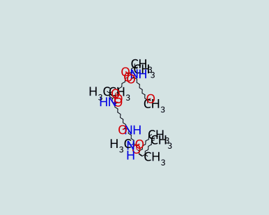 CCCCCCCC(/C=C\C(C)CCCCCC)OC(=O)C(CCCCNC(=O)CCCCCCCCC(=O)NC(CC(C)C)C(=O)OCCCCCCOC(=O)C(CC(C)C)NC(=O)CCCCCCCCC(C)=O)NC